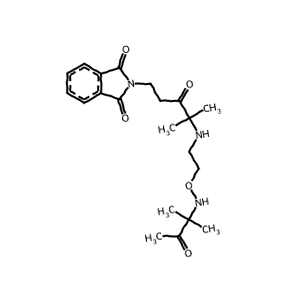 CC(=O)C(C)(C)NOCCNC(C)(C)C(=O)CCN1C(=O)c2ccccc2C1=O